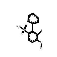 CCOc1ccc(S(N)(=O)=O)c(-c2ccccc2)c1F